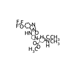 COC(=O)[C@@H]1C[C@H](NC(C)(C)C)CC[C@@H]1N1CC[C@H](Nc2ncnc3ccc(OC(F)(F)F)cc23)C1=O